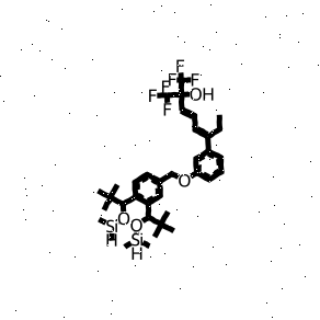 CCC(=CC=CC(O)(C(F)(F)F)C(F)(F)F)c1cccc(OCc2ccc(C(O[SiH](C)C)C(C)(C)C)c(C(O[SiH](C)C)C(C)(C)C)c2)c1